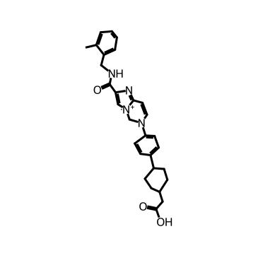 Cc1ccccc1CNC(=O)C1=C[N+]2CN(c3ccc(C4CCC(CC(=O)O)CC4)cc3)C=CC2=N1